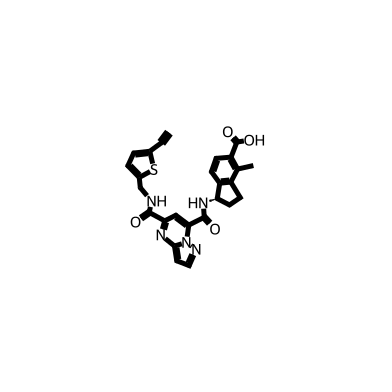 C#Cc1ccc(CNC(=O)c2cc(C(=O)N[C@H]3CCc4c3ccc(C(=O)O)c4C)n3nccc3n2)s1